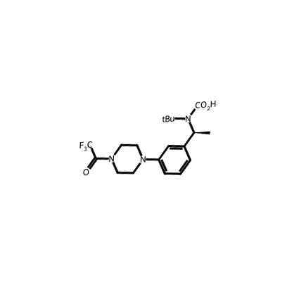 C[C@@H](c1cccc(N2CCN(C(=O)C(F)(F)F)CC2)c1)N(C(=O)O)C(C)(C)C